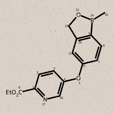 CCOC(=O)c1ccc(Oc2ccc3c(c2)COB3C)cn1